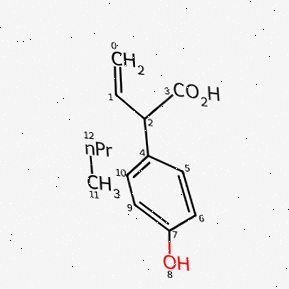 C=CC(C(=O)O)c1ccc(O)cc1.CCCC